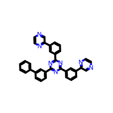 c1ccc(-c2cccc(-c3nc(-c4cccc(-c5cnccn5)c4)nc(-c4cccc(-c5cnccn5)c4)n3)c2)cc1